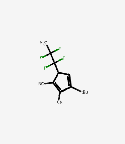 CC(C)(C)C1=CC(C(F)(F)C(F)(F)C(F)(F)F)C(C#N)=C1C#N